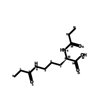 CCC(=O)NCCC[C@H](NC(=O)CC)C(=O)O